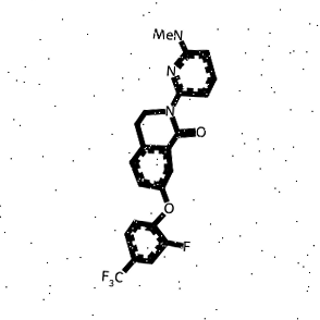 CNc1cccc(N2CCc3ccc(Oc4ccc(C(F)(F)F)cc4F)cc3C2=O)n1